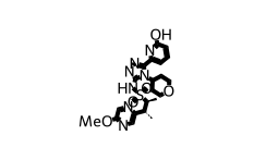 COc1cnc([C@@H](C)[C@H](C)S(=O)(=O)Nc2nnc(-c3cccc(O)n3)n2C2CCOCC2)cn1